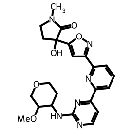 COC1COCCC1Nc1nccc(-c2cccc(-c3cc(C4(O)CCN(C)C4=O)on3)n2)n1